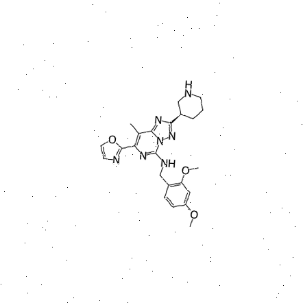 COc1ccc(CNc2nc(-c3ncco3)c(C)c3nc([C@@H]4CCCNC4)nn23)c(OC)c1